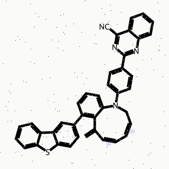 C=C1/C=C\C=C/CN(c2ccc(-c3nc(C#N)c4ccccc4n3)cc2)c2cccc(-c3ccc4sc5ccccc5c4c3)c21